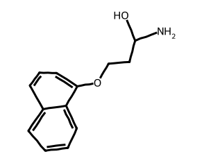 NC(O)CCOc1cccc2ccccc12